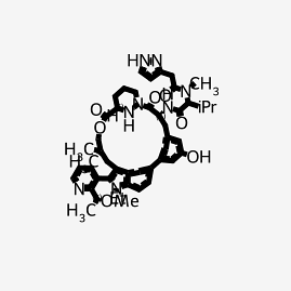 CCn1c(-c2cccnc2[C@H](C)OC)c2c3cc(ccc31)-c1cc(O)cc(c1)C[C@H](NC(=O)C(C(C)C)N(C)C(=O)Cc1cc[nH]n1)C(=O)N1CCC[C@H](N1)C(=O)OCC(C)(C)C2